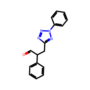 O=CC(Cc1nnn(-c2ccccc2)n1)c1ccccc1